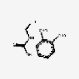 NC(=O)NCO.O=Cc1ccccc1C=O